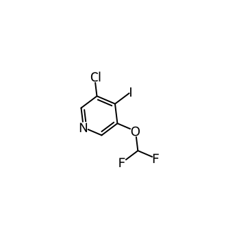 FC(F)Oc1cncc(Cl)c1I